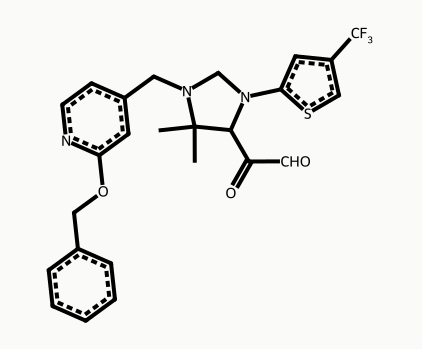 CC1(C)C(C(=O)C=O)N(c2cc(C(F)(F)F)cs2)CN1Cc1ccnc(OCc2ccccc2)c1